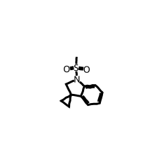 CS(=O)(=O)N1CC2(CC2)c2ccccc21